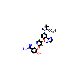 CN1CC=NC1c1cc(N2CSC(C)(C)C2C(=O)O)ccc1Oc1c(F)cnc(Oc2cc(C(=N)N)ccc2O)c1F